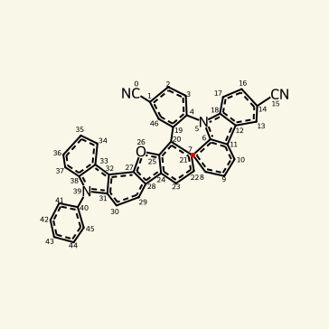 N#Cc1ccc(-n2c3ccccc3c3cc(C#N)ccc32)c(-c2cccc3c2oc2c3ccc3c2c2ccccc2n3-c2ccccc2)c1